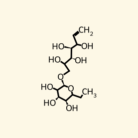 C=CC(O)[C@H](O)[C@H](O)C(O)CO[C@H]1OC(CC)[C@@H](O)[C@@H](O)C1O